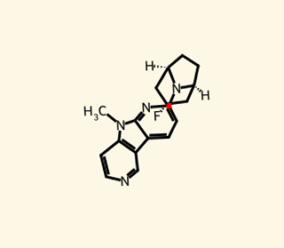 Cn1c2ccncc2c2ccc(N3[C@@H]4CC[C@H]3C[C@H](F)C4)nc21